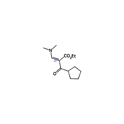 CCOC(=O)/C(=C\N(C)C)C(=O)C1CCCC1